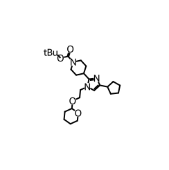 CC(C)(C)OC(=O)N1CCC(c2nc(C3CCCC3)cn2CCOC2CCCCO2)CC1